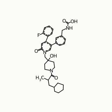 CC(CC1CCCCC1)C(=O)N1CCC(O)(Cn2cc(-c3cccc(CNC(=O)O)c3)c(-c3ccccc3F)cc2=O)CC1